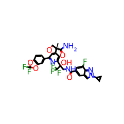 C[C@]1(C(N)=O)COc2c1cc(C(O)(CNC(=O)c1cc(F)c3nn(C4CC4)cc3c1)C(F)(F)F)nc2-c1ccc2c(c1)OC(F)(F)O2